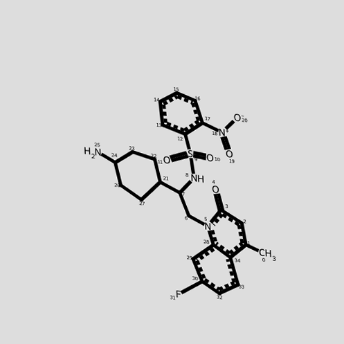 Cc1cc(=O)n(CC(NS(=O)(=O)c2ccccc2[N+](=O)[O-])C2CCC(N)CC2)c2cc(F)ccc12